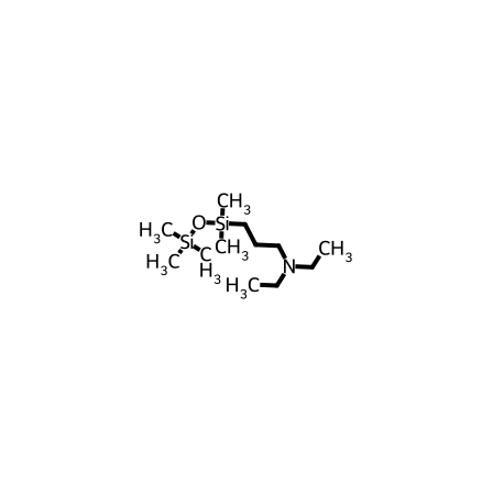 CCN(CC)CCC[Si](C)(C)O[Si](C)(C)C